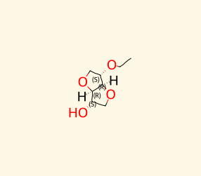 CCO[C@H]1CO[C@H]2[C@@H]1OC[C@@H]2O